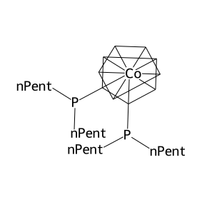 CCCCCP(CCCCC)[C]12[CH]3[CH]4[CH]5[C]1(P(CCCCC)CCCCC)[Co]43521678[CH]2[CH]1[CH]6[CH]7[CH]28